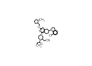 C=CC(=O)N1CCN(c2nc(OCC3CCCN3C)nc3c2CCC(N2CCc4cccc(Cl)c42)C3)CC1CC#N